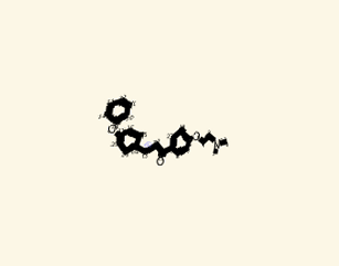 CN(C)CCOc1ccc(C(=O)/C=C/c2ccc(Oc3ccccc3)cc2)cc1